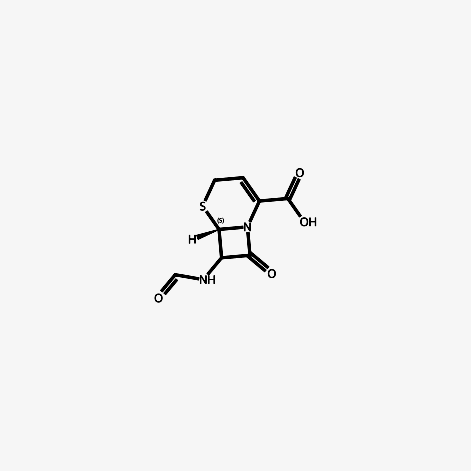 O=CNC1C(=O)N2C(C(=O)O)=CCS[C@@H]12